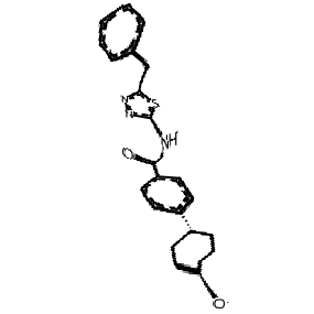 O=C(Nc1nnc(Cc2ccccc2)s1)c1ccc([C@H]2CC[C@H]([O])CC2)cc1